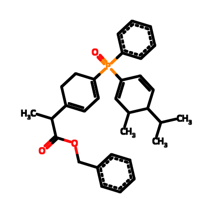 CC(C(=O)OCc1ccccc1)C1=CC=C(P(=O)(C2=CC(C)C(C(C)C)C=C2)c2ccccc2)CC1